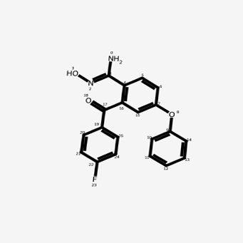 N/C(=N\O)c1ccc(Oc2ccccc2)cc1C(=O)c1ccc(F)cc1